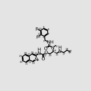 CN(C(=O)NCc1cccc(F)c1F)[C@@H](CNCCF)COC(=O)Nc1cc2ccccc2cn1